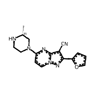 C[C@@H]1CN(c2ccn3nc(-c4ccco4)c(C#N)c3n2)CCN1